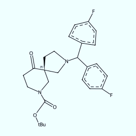 CC(C)(C)OC(=O)N1CCC(=O)[C@@]2(CCN(C(c3ccc(F)cc3)c3ccc(F)cc3)C2)C1